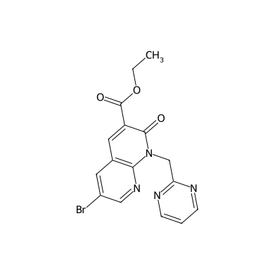 CCOC(=O)c1cc2cc(Br)cnc2n(Cc2ncccn2)c1=O